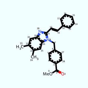 COC(=O)c1ccc(Cn2c(/C=C/c3ccccc3)nc3cc(C)c(C)cc32)cc1